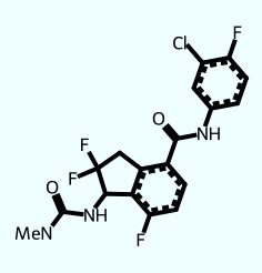 CNC(=O)NC1c2c(F)ccc(C(=O)Nc3ccc(F)c(Cl)c3)c2CC1(F)F